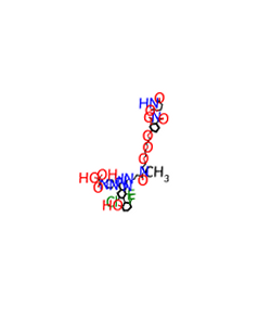 CN(CCOCCOCCOc1ccc2c(c1)C(=O)N(C1CCC(=O)NC1=O)C2=O)C(=O)CCNc1nc(N2CCN(C(=O)C(O)O)CC2)c2cc(Cl)c(-c3c(O)cccc3F)c(F)c2n1